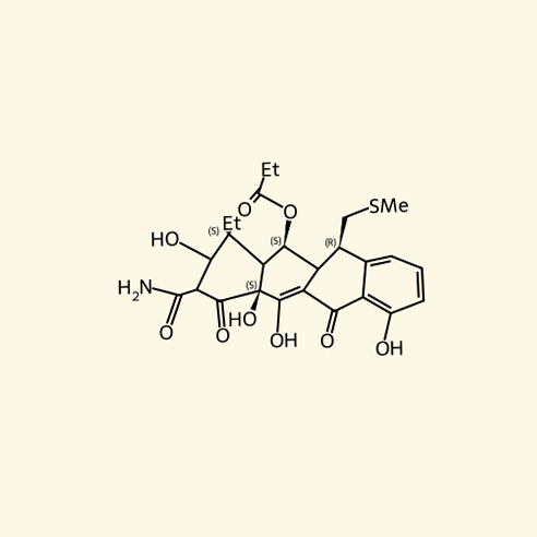 CCC(=O)O[C@H]1C2C(=C(O)[C@]3(O)C(=O)C(C(N)=O)C(O)[C@@H](CC)C13)C(=O)c1c(O)cccc1[C@@H]2CSC